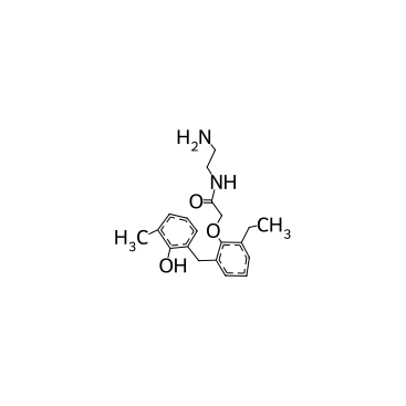 CCc1cccc(Cc2cccc(C)c2O)c1OCC(=O)NCCN